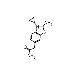 NC(=O)Cc1ccc2c(c1)SC(N)N2C1CC1